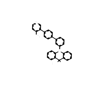 CC1(C)c2ccccc2N(c2cccc(-c3ccc(-c4cnccc4C#N)cc3)c2)c2ccccc21